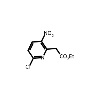 CCOC(=O)Cc1nc(Cl)ccc1[N+](=O)[O-]